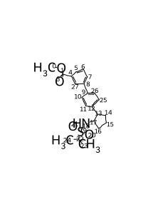 COC(=O)c1cccc(-c2ccc(C3CCCC3NS(=O)(=O)C(C)C)cc2)c1